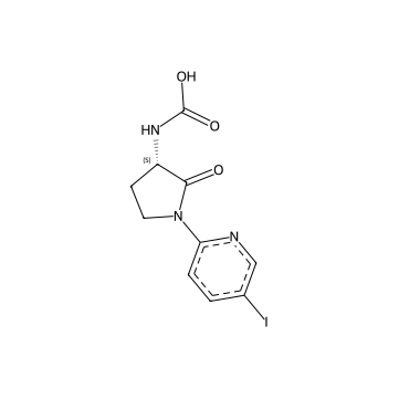 O=C(O)N[C@H]1CCN(c2ccc(I)cn2)C1=O